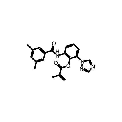 C=C(C)C(=O)Oc1c(NC(=O)c2cc(C)cc(C)c2)cccc1-n1cncn1